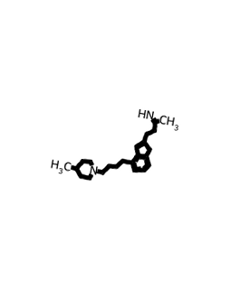 CC(=N)CCC1=Cc2c(CCCCN3CCC(C)CC3)cccc2C1